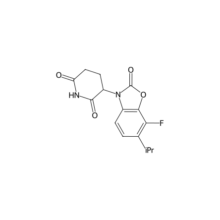 CC(C)c1ccc2c(oc(=O)n2C2CCC(=O)NC2=O)c1F